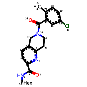 CCCCCCNC(=O)c1ccc2c(n1)CCN(C(=O)c1cc(Cl)ccc1C(F)(F)F)C2